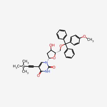 COc1ccc(C(OC[C@@H]2O[C@H](n3cc(C#C[Si](C)(C)C)c(=O)[nH]c3=O)CC2O)(c2ccccc2)c2ccccc2)cc1